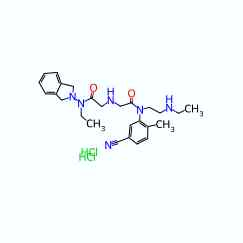 CCNCCN(C(=O)CNCC(=O)N(CC)N1Cc2ccccc2C1)c1cc(C#N)ccc1C.Cl.Cl